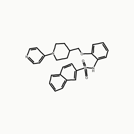 O=S(=O)(Nc1ccccc1OCC1CCN(c2ccncc2)CC1)c1ccc2ccccc2c1